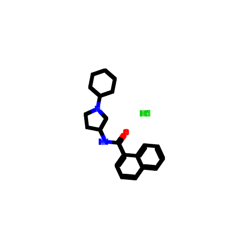 Cl.O=C(NC1CCN(C2CCCCC2)C1)c1cccc2ccccc12